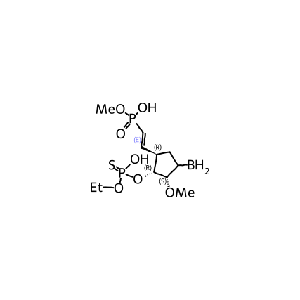 BC1C[C@H](/C=C/P(=O)(O)OC)[C@@H](OP(O)(=S)OCC)[C@H]1OC